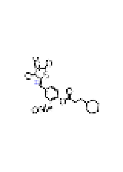 COc1cc(/C=C2\SC(=O)NC2=O)ccc1OC(=O)CCC1CCCCC1